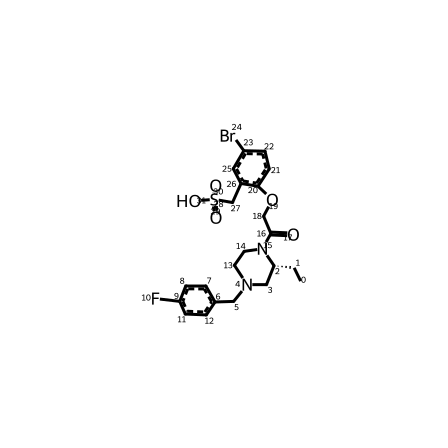 CC[C@@H]1CN(Cc2ccc(F)cc2)CCN1C(=O)COc1ccc(Br)cc1CS(=O)(=O)O